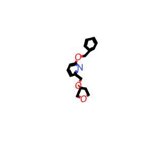 c1ccc(COc2cccc(CO[C@H]3CCOC3)n2)cc1